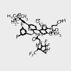 CC(C)(C#Cc1ccc(-c2ccc(Cl)c3c(N(CCO)S(C)(=O)=O)nn(CC(F)(F)F)c23)c([C@H](Cc2cc(F)cc(F)c2)NC(=O)Cn2nc(C(F)(F)F)c3c2C(F)(F)[C@@H]2CC32)n1)S(C)(=O)=O